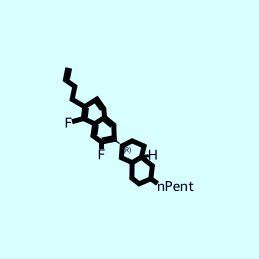 C=CCCc1ccc2cc([C@@H]3CC[C@@H]4CC(CCCCC)CCC4C3)c(F)cc2c1F